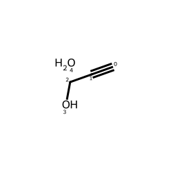 C#CCO.O